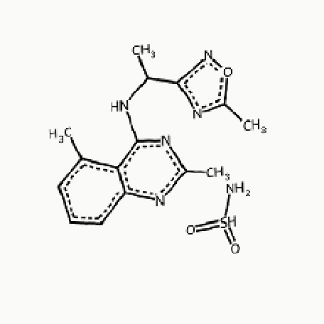 Cc1nc(NC(C)c2noc(C)n2)c2c(C)cccc2n1.N[SH](=O)=O